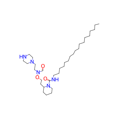 CCCCCCCCCCCCCCCCCCNC(=O)N1CCCCC1CCON(C=O)CCN1CCNCC1